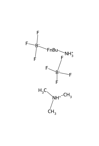 CCCC[NH3+].C[NH+](C)C.F[B-](F)(F)F.F[B-](F)(F)F